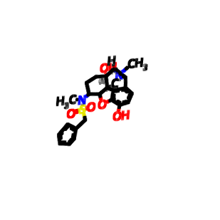 CN1CC[C@]23c4c5ccc(O)c4OC2C(N(C)S(=O)(=O)Cc2ccccc2)CC[C@@]3(O)[C@H]1C5